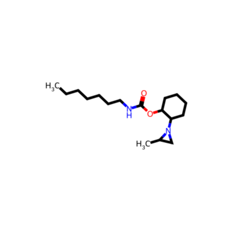 CCCCCCCNC(=O)OC1CCCCC1N1CC1C